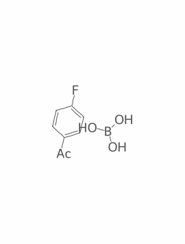 CC(=O)c1ccc(F)cc1.OB(O)O